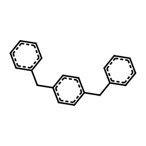 c1ccc(Cc2ccc(Cc3ccccc3)cc2)cc1